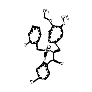 CCOc1ccc(/C=C(/C(=O)c2ccc(Cl)cc2)S(=O)(=O)Cc2ccccc2Cl)cc1OC